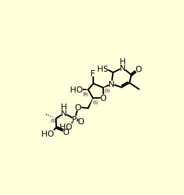 CC1=CN([C@H]2O[C@@H](COP(=O)(O)N[C@@H](C)C(=O)O)[C@@H](O)C2F)C(S)NC1=O